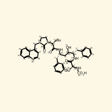 CCC(C)[C@@H](C(=O)N[C@@H](Cc1ccccc1)C[C@@H](O)[C@H](Cc1ccccc1)NC(=O)[C@@H](NC(=O)O)C(C)(C)C)N1CCN(Cc2ccnc3ccccc23)C1=O